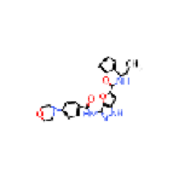 CCC(NC(=O)c1cc2[nH]nc(NC(=O)c3ccc(N4CCOCC4)cc3)c2o1)c1ccccc1